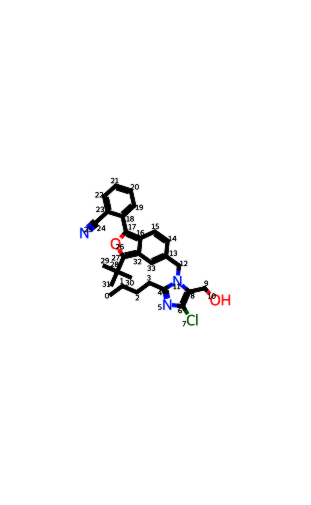 CCCCc1nc(Cl)c(CO)n1Cc1ccc2c(-c3ccccc3C#N)oc(C(C)(C)C)c2c1